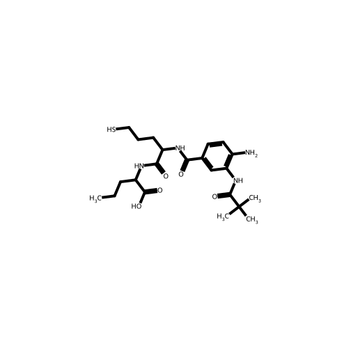 CCCC(NC(=O)C(CCCS)NC(=O)c1ccc(N)c(NC(=O)C(C)(C)C)c1)C(=O)O